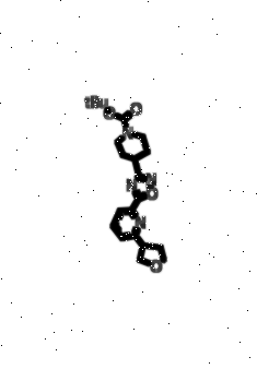 CC(C)(C)OC(=O)N1CCC(c2noc(-c3cccc(C4CCOC4)n3)n2)CC1